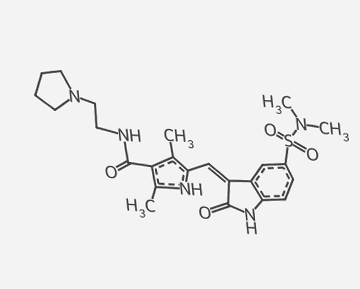 Cc1[nH]c(C=C2C(=O)Nc3ccc(S(=O)(=O)N(C)C)cc32)c(C)c1C(=O)NCCN1CCCC1